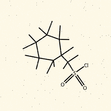 CC1(C)C(C)(C)C(C)(C)C(C)(C(C)(C)S(=O)(=O)Cl)C(C)(C)C1(C)C